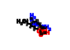 CCCCCCCCOP(=O)(O)O.NCCNCCN